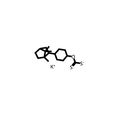 CC1(C)C2CCC1(C)C(C1CCC(OC(=S)[S-])CC1)C2.[K+]